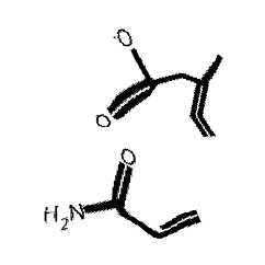 C=C(C)C([O])=O.C=CC(N)=O